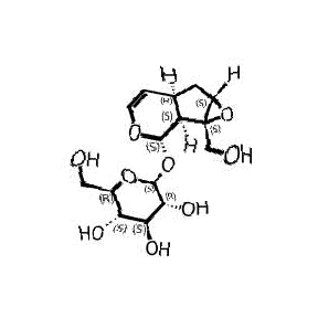 OC[C@H]1O[C@@H](O[C@@H]2OC=C[C@H]3C[C@@H]4O[C@]4(CO)[C@@H]23)[C@H](O)[C@@H](O)[C@@H]1O